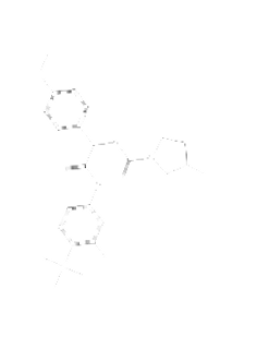 COc1ccc(C(NC(=O)N2CCC(O)C2)C(=O)Nc2ccc(S(C)(C)C)c(F)c2)cc1